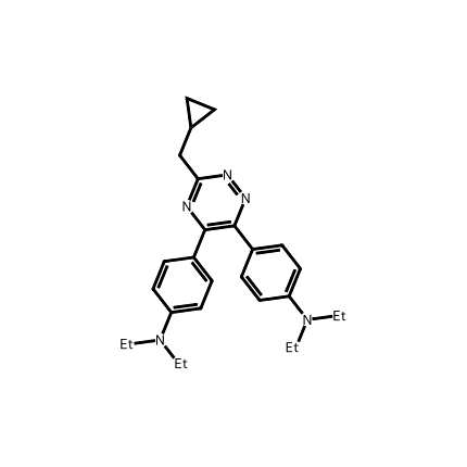 CCN(CC)c1ccc(-c2nnc(CC3CC3)nc2-c2ccc(N(CC)CC)cc2)cc1